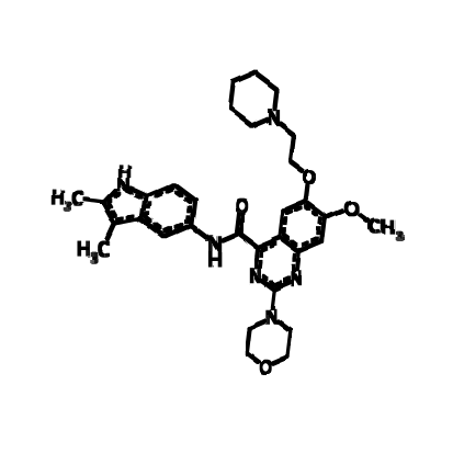 COc1cc2nc(N3CCOCC3)nc(C(=O)Nc3ccc4[nH]c(C)c(C)c4c3)c2cc1OCCN1CCCCC1